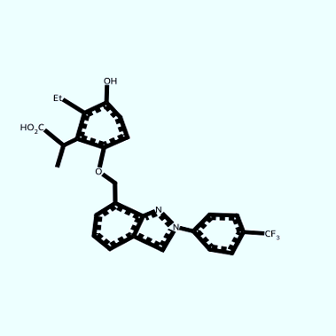 CCc1c(O)ccc(OCc2cccc3cn(-c4ccc(C(F)(F)F)cc4)nc23)c1C(C)C(=O)O